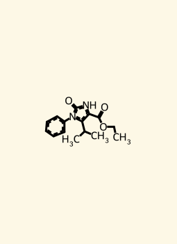 CCOC(=O)c1[nH]c(=O)n(-c2ccccc2)c1C(C)C